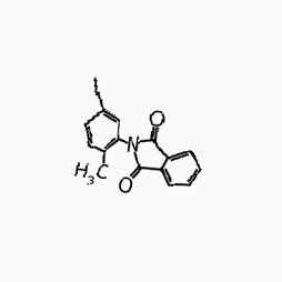 Cc1ccc(I)cc1N1C(=O)c2ccccc2C1=O